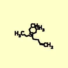 C=CCC[Si](CC)(CC)CC